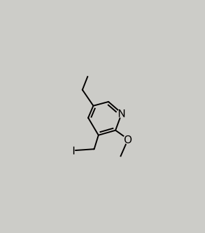 CCc1cnc(OC)c(CI)c1